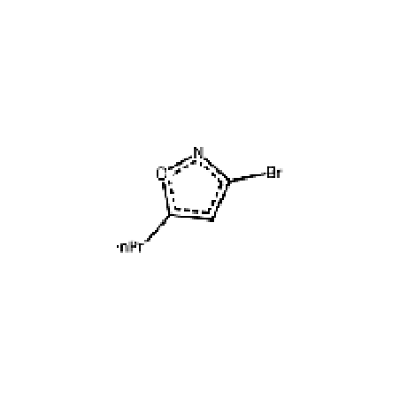 CC[CH]c1cc(Br)no1